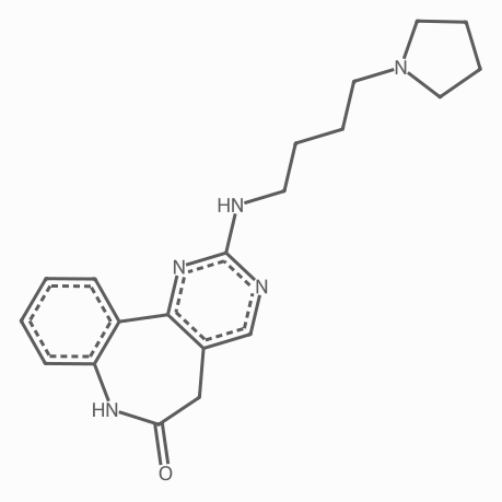 O=C1Cc2cnc(NCCCCN3CCCC3)nc2-c2ccccc2N1